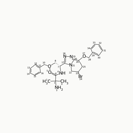 CC(C)(N)C(=O)N[C@H](COCc1ccccc1)c1nnc2n1CC(Br)CC2OCc1ccccc1